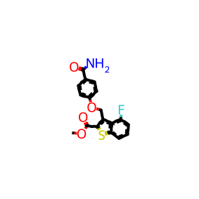 COC(=O)c1sc2cccc(F)c2c1COc1ccc(C(N)=O)cc1